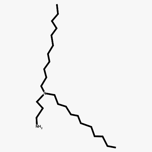 CCCCCCCCCCCN(CCCN)CCCCCCCCCCC